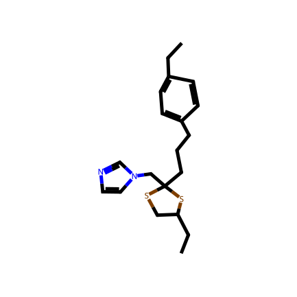 CCc1ccc(CCCC2(Cn3ccnc3)SCC(CC)S2)cc1